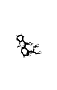 COc1ccccc1C(=O)c1ccccc1C(CCl)P=O